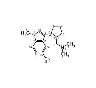 CN(C)C[C@@H]1CCC[C@H]1c1cn(C)c2ccc(C#N)cc12